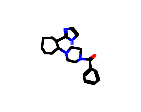 O=C(c1ccccc1)N1CCN(C2CCCCCC2c2ncc[nH]2)CC1